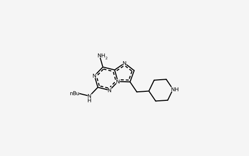 CCCCNc1nc(N)c2ncc(CC3CCNCC3)n2n1